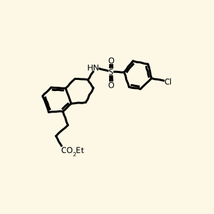 CCOC(=O)CCc1cccc2c1CCC(NS(=O)(=O)c1ccc(Cl)cc1)C2